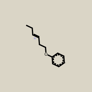 CC/C=C/CCOc1cc[c]cc1